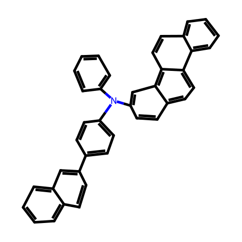 c1ccc(N(c2ccc(-c3ccc4ccccc4c3)cc2)c2ccc3ccc4c5ccccc5ccc4c3c2)cc1